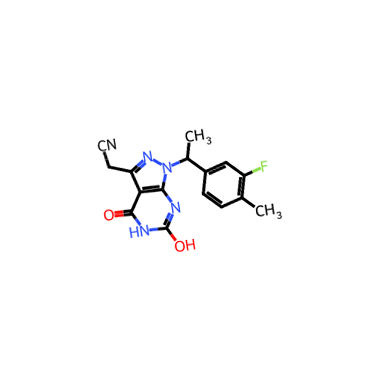 Cc1ccc(C(C)n2nc(CC#N)c3c(=O)[nH]c(O)nc32)cc1F